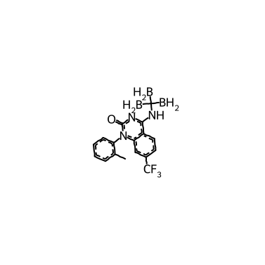 BC(B)(B)Nc1nc(=O)n(-c2ccccc2C)c2cc(C(F)(F)F)ccc12